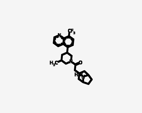 CC1CC(c2ccc(C(F)(F)F)c3ncccc23)CN(C(=O)CC2CC3CCC(C2)N3C)C1